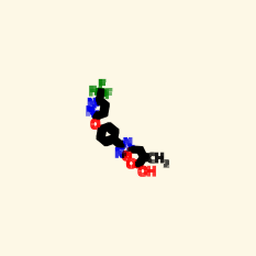 C=C(Cc1nc(-c2ccc(Oc3ccc(C(F)(F)F)nn3)cc2)no1)C(=O)O